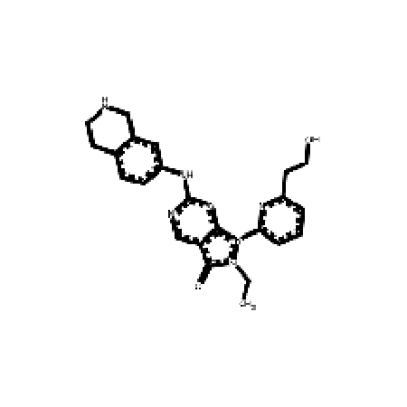 CCn1c(=O)c2cnc(Nc3ccc4c(c3)CNCC4)nc2n1-c1cccc(CCO)n1